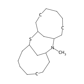 CN1C2CCCCCCCC(C2)SC2CCCCCCCC1C2